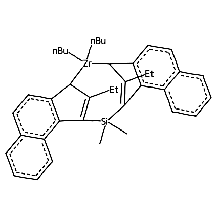 CCC[CH2][Zr]1([CH2]CCC)[CH]2C(CC)=C(c3c2ccc2ccccc32)[Si](C)(C)C2=C(CC)[CH]1c1ccc3ccccc3c12